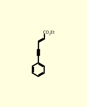 CCOC(=O)C=CC#Cc1ccccc1